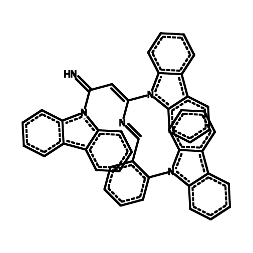 N=C(/C=C(\N=C\c1ccccc1-n1c2ccccc2c2ccccc21)n1c2ccccc2c2ccccc21)n1c2ccccc2c2ccccc21